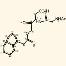 CC(=O)NCC(=O)NC(CC(=O)O)C(=O)COC(=O)Cc1cccc2ccccc12